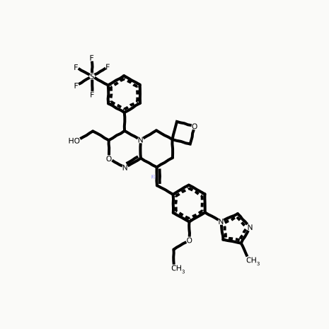 CCOc1cc(/C=C2\CC3(COC3)CN3C2=NOC(CO)C3c2cccc(S(F)(F)(F)(F)F)c2)ccc1-n1cnc(C)c1